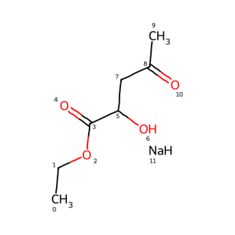 CCOC(=O)C(O)CC(C)=O.[NaH]